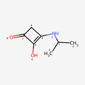 CC(C)NC1=C(O)C(=O)C1